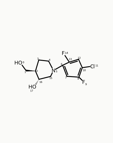 OC[C@H]1CCN(c2cc(F)c(Cl)cc2F)C[C@@H]1O